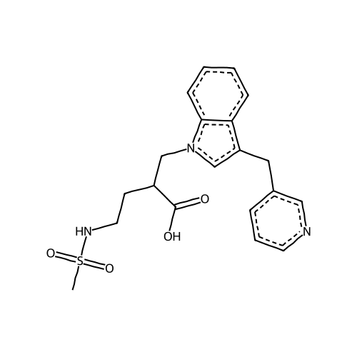 CS(=O)(=O)NCCC(Cn1cc(Cc2cccnc2)c2ccccc21)C(=O)O